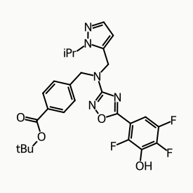 CC(C)n1nccc1CN(Cc1ccc(C(=O)OC(C)(C)C)cc1)c1noc(-c2cc(F)c(F)c(O)c2F)n1